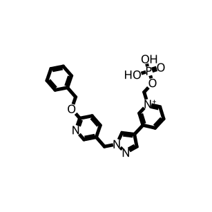 O=P(O)(O)OC[n+]1cccc(-c2cnn(Cc3ccc(OCc4ccccc4)nc3)c2)c1